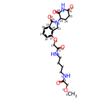 COCC(=O)NCCCCNC(=O)COc1cccc2c1CN(C1CCC(=O)NC1=O)C2=O